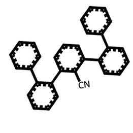 N#Cc1c(-c2ccccc2-c2ccccc2)cccc1-c1ccccc1-c1ccccc1